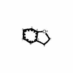 [c]1cccc2c1CCO2